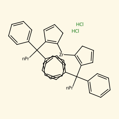 CCCC(C1=[C]([Zr][C]2=C(C(CCC)(c3ccccc3)c3ccccc3)C=CC2)CC=C1)(c1ccccc1)c1ccccc1.Cl.Cl